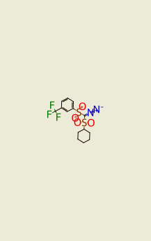 [N-]=[N+]=C(S(=O)(=O)c1cccc(C(F)(F)F)c1)S(=O)(=O)C1CCCCC1